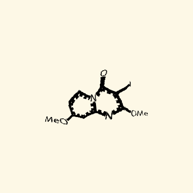 COc1ccn2c(=O)c(I)c(OC)nc2c1